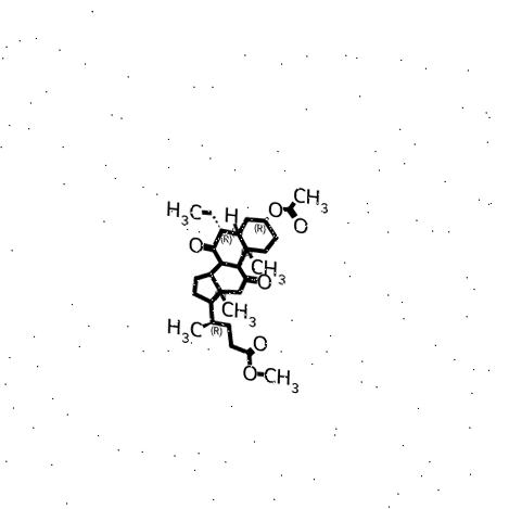 CC[C@H]1C(=O)C2C3CCC([C@H](C)CCC(=O)OC)[C@@]3(C)CC(=O)C2[C@@]2(C)CC[C@@H](OC(C)=O)C[C@@H]12